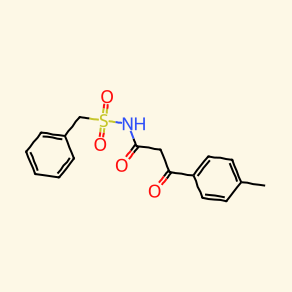 Cc1ccc(C(=O)CC(=O)NS(=O)(=O)Cc2ccccc2)cc1